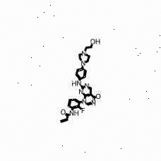 C=CC(=O)Nc1cccc(-n2cnc(=O)c3cnc(Nc4ccc(N5CCN(CCO)CC5)cc4)nc32)c1F